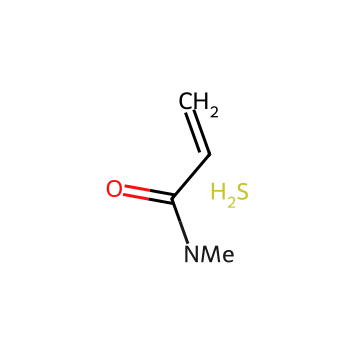 C=CC(=O)NC.S